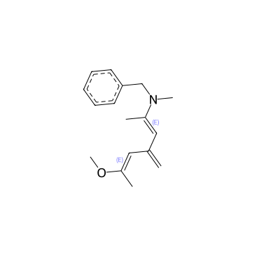 C=C(/C=C(\C)OC)/C=C(\C)N(C)Cc1ccccc1